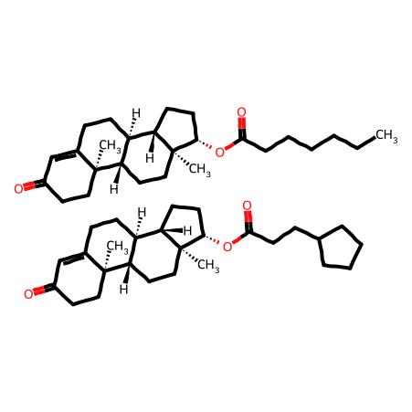 CCCCCCC(=O)O[C@H]1CC[C@H]2[C@@H]3CCC4=CC(=O)CC[C@]4(C)[C@H]3CC[C@]12C.C[C@]12CC[C@H]3[C@@H](CCC4=CC(=O)CC[C@@]43C)[C@@H]1CC[C@@H]2OC(=O)CCC1CCCC1